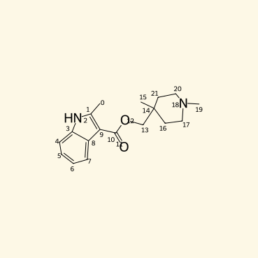 Cc1[nH]c2ccccc2c1C(=O)OCC1(C)CCN(C)CC1